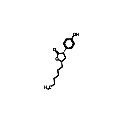 CCCCCC[C@@H]1C[C@@H](c2ccc(O)cc2)C(=O)O1